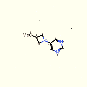 COC1CN(c2cncnc2)C1